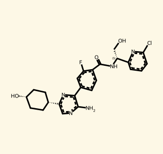 Nc1ncc([C@H]2CC[C@@H](O)CC2)nc1-c1ccc(C(=O)N[C@H](CO)c2cccc(Cl)n2)c(F)c1